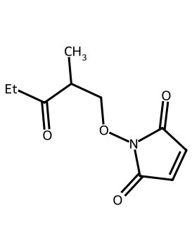 CCC(=O)C(C)CON1C(=O)C=CC1=O